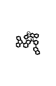 c1cc(-c2ccc3ccccc3c2)cc(N(c2ccc3c(-c4cc5ccccc5c5ccccc45)cccc3c2)c2c3ccccc3cc3oc4ccccc4c23)c1